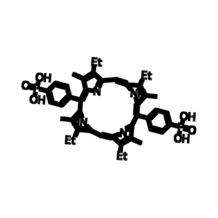 CCC1=C(C)c2nc1cc1[nH]c(c(C)c1CC)c(-c1ccc(P(=O)(O)O)cc1)c1nc(cc3[nH]c(c(C)c3CC)c2-c2ccc(P(=O)(O)O)cc2)C(CC)=C1C